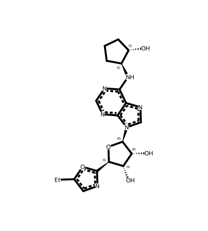 CCc1cnc([C@H]2O[C@@H](n3cnc4c(N[C@H]5CCC[C@@H]5O)ncnc43)[C@H](O)[C@@H]2O)o1